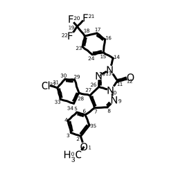 COc1cccc(-c2cnn3c(=O)n(Cc4ccc(C(F)(F)F)cc4)nc3c2-c2ccc(Cl)cc2)c1